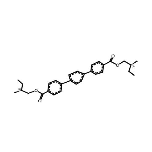 CC[C@H](C)COC(=O)c1ccc(-c2ccc(-c3ccc(C(=O)OC[C@@H](C)CC)cc3)cc2)cc1